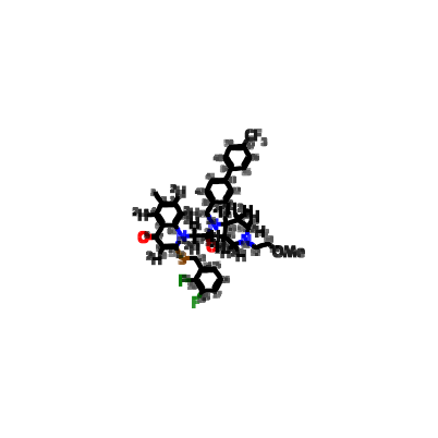 [2H]c1c(C)c([2H])c2c(=O)c([2H])c(SCc3cccc(F)c3F)n(C([2H])([2H])C(=O)N(Cc3ccc(-c4ccc(C(F)(F)F)cc4)cc3)C3([2H])C([2H])([2H])C([2H])([2H])N(CCOC)C([2H])([2H])C3([2H])[2H])c2c1[2H]